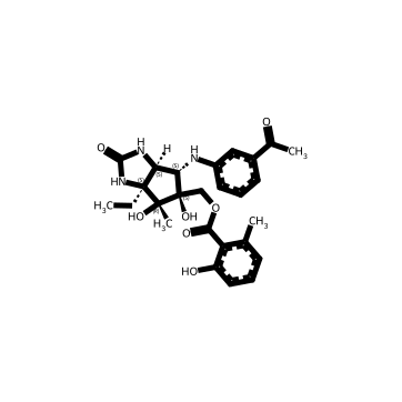 CC[C@]12NC(=O)N[C@H]1[C@H](Nc1cccc(C(C)=O)c1)[C@](O)(COC(=O)c1c(C)cccc1O)[C@]2(C)O